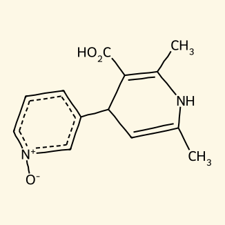 CC1=CC(c2ccc[n+]([O-])c2)C(C(=O)O)=C(C)N1